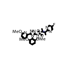 COc1cccc(-c2nnc(NS(=O)(=O)/C(C)=C(\C)c3ncc(F)cn3)n2-c2c(OC)cccc2OC)n1